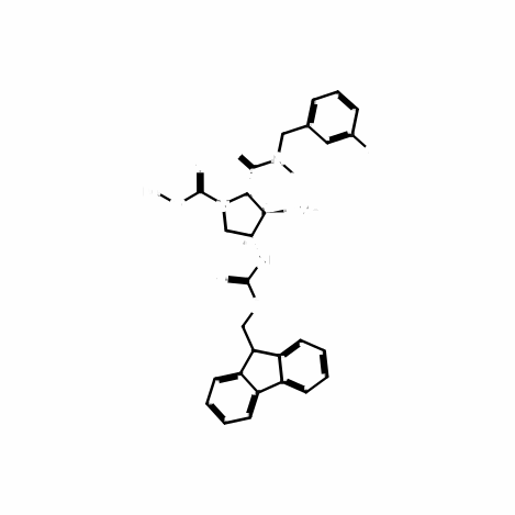 CO[C@@H]1[C@@H](C(=O)N(F)Cc2cccc(Cl)c2)N(C(=O)OC(C)(C)C)C[C@H]1NC(=O)OCC1c2ccccc2-c2ccccc21